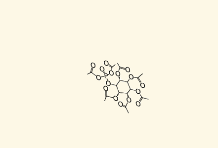 CC(=O)OC1C(OC(C)=O)[C@@H](OC(C)=O)[C@@H](OC(C)=O)C(OP(=O)(OC(C)=O)OC(C)=O)[C@H]1OC(C)=O